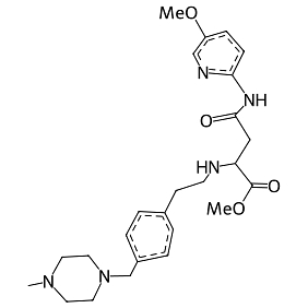 COC(=O)C(CC(=O)Nc1ccc(OC)cn1)NCCc1ccc(CN2CCN(C)CC2)cc1